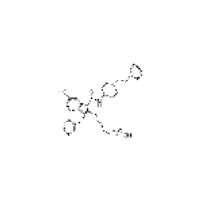 CCCCCc1c(C(=O)NC2CCN(CCc3ccccc3)CC2)c2cc(O)ccc2n1Cc1ccccc1.Cl.O